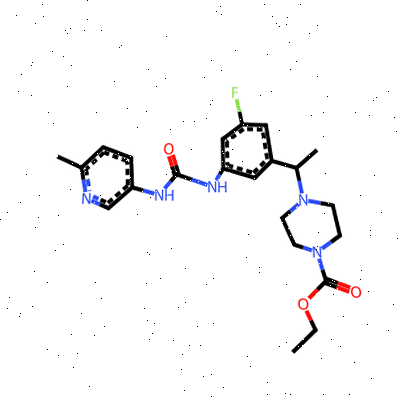 CCOC(=O)N1CCN(C(C)c2cc(F)cc(NC(=O)Nc3ccc(C)nc3)c2)CC1